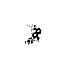 COC(=O)c1cccc2c(C=O)c(OS(=O)(=O)C(F)(F)F)ccc12